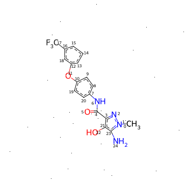 Cn1nc(C(=O)Nc2ccc(Oc3cccc(C(F)(F)F)c3)cc2)c(O)c1N